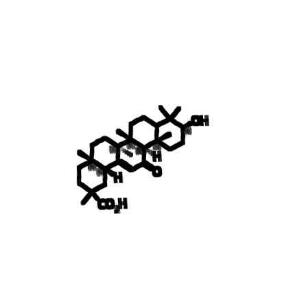 CC1(C(=O)O)CC[C@]2(C)CC[C@]3(C)C(=CC(=O)[C@@H]4[C@@]5(C)CC[C@H](O)C(C)(C)C5CC[C@]43C)[C@@H]2C1